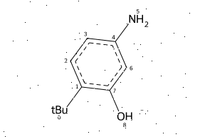 CC(C)(C)c1ccc(N)cc1O